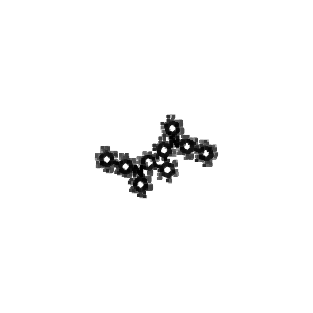 C1=C(c2ccccc2-c2cccc(N(c3ccccc3)c3ccc(-c4ccccc4)cc3)c2)CCC=C1N(c1ccccc1)c1ccc(-c2ccccc2)cc1